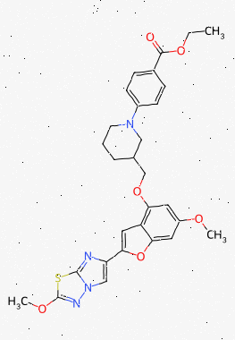 CCOC(=O)c1ccc(N2CCCC(COc3cc(OC)cc4oc(-c5cn6nc(OC)sc6n5)cc34)C2)cc1